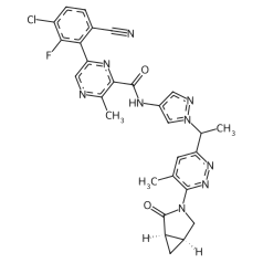 Cc1cc(C(C)n2cc(NC(=O)c3nc(-c4c(C#N)ccc(Cl)c4F)cnc3C)cn2)nnc1N1C[C@H]2C[C@H]2C1=O